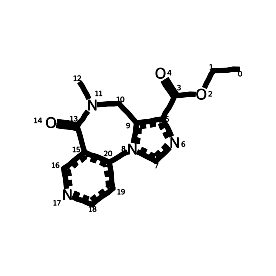 CCOC(=O)c1ncn2c1CN(C)C(=O)c1cnccc1-2